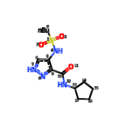 CCCCS(=O)(=O)Nc1c[nH]nc1C(=O)NC1CCCC1